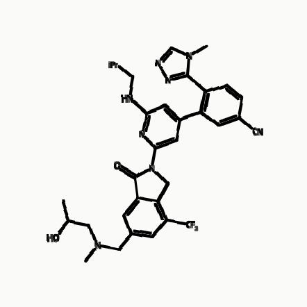 CC(C)CNc1cc(-c2cc(C#N)ccc2-c2nncn2C)cc(N2Cc3c(cc(CN(C)CC(C)O)cc3C(F)(F)F)C2=O)n1